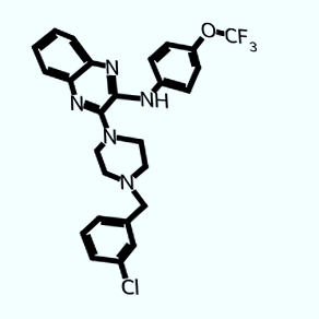 FC(F)(F)Oc1ccc(Nc2nc3ccccc3nc2N2CCN(Cc3cccc(Cl)c3)CC2)cc1